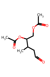 CC(=O)OCC(OC(C)=O)C(C)CC=O